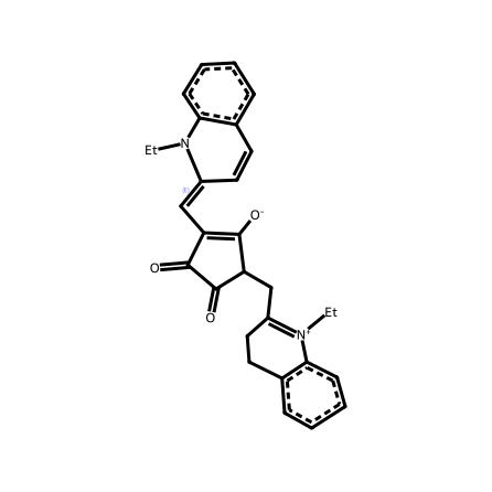 CCN1/C(=C/C2=C([O-])C(CC3=[N+](CC)c4ccccc4CC3)C(=O)C2=O)C=Cc2ccccc21